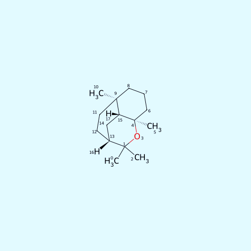 CC1(C)O[C@]2(C)CCC[C@]3(C)CC[C@@H]1C[C@H]32